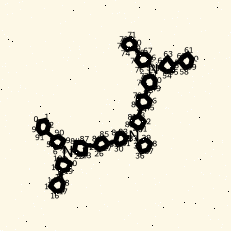 c1ccc(-c2ccc(N(c3ccc(-c4ccccc4)cc3)c3ccc(-c4ccc(-c5ccc(N(c6ccccc6)c6ccc(-c7ccc(-c8ccc(N(c9ccc(-c%10ccccc%10)cc9)c9ccc(-c%10ccccc%10)cc9)cc8)cc7)cc6)cc5)cc4)cc3)cc2)cc1